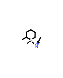 CC#N.CC1CCCC[Si]1(C)C